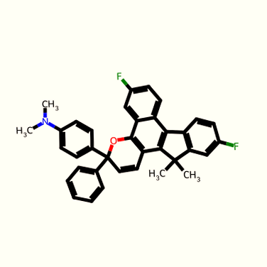 CN(C)c1ccc(C2(c3ccccc3)C=Cc3c4c(c5ccc(F)cc5c3O2)-c2ccc(F)cc2C4(C)C)cc1